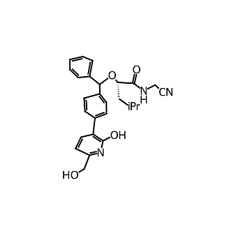 CC(C)C[C@H](OC(c1ccccc1)c1ccc(-c2ccc(CO)nc2O)cc1)C(=O)NCC#N